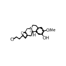 COc1cc2c(cc1O)[C@@H]1Cc3cc(CCCl)oc3CN1CC2